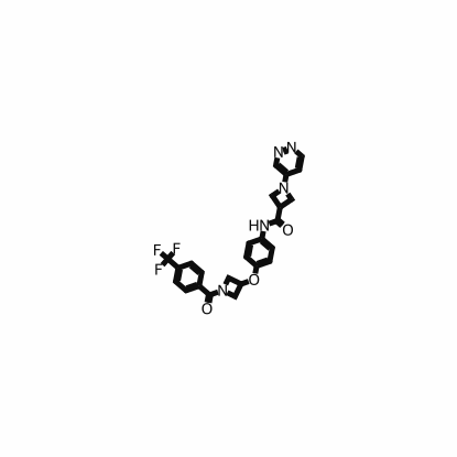 O=C(Nc1ccc(OC2CN(C(=O)c3ccc(C(F)(F)F)cc3)C2)cc1)C1CN(c2ccnnc2)C1